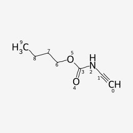 C#CNC(=O)OCCCC